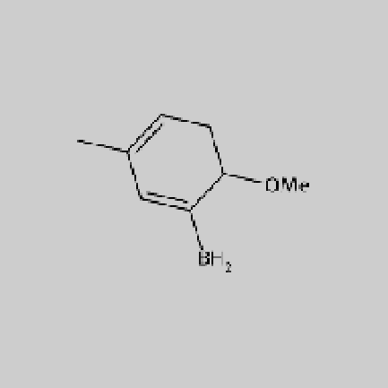 BC1=CC(C)=CCC1OC